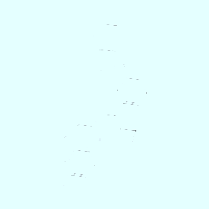 CC1(C)Oc2ccc(S(=O)(=O)N3CCOCC3)cc2C(/N=C(/NC#N)Nc2ccc(Cl)cc2)C1O